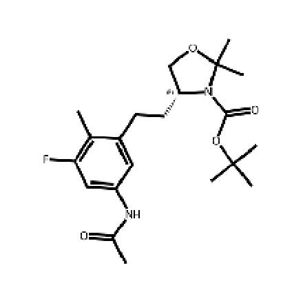 CC(=O)Nc1cc(F)c(C)c(CC[C@@H]2COC(C)(C)N2C(=O)OC(C)(C)C)c1